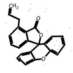 C=CCc1cccc2c1C(=O)OC21c2ccccc2Oc2ccccc21